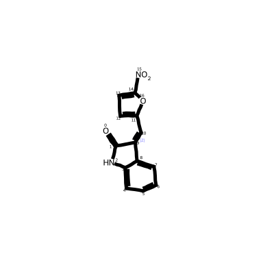 O=C1Nc2ccccc2/C1=C/c1ccc([N+](=O)[O-])o1